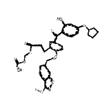 CC(C)(C)C(=O)OCOC(=O)CCc1cc(C(=O)c2ccc(OC3CCCC3)cc2O)ccc1OCc1ccc2c(O)noc2c1